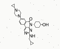 O=c1c2cc(N3CCN(C4CC4)CC3)ccc2c2cnc(NCC3CC3)nc2n1[C@H]1CC[C@H](O)CC1